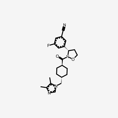 Cc1ncn(C[C@H]2CC[C@H](C(=O)N3OCC[C@H]3c3cc(F)cc(C#N)c3)CC2)c1C